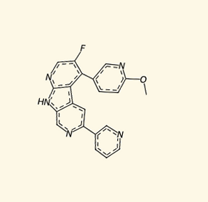 COc1ccc(-c2c(F)cnc3[nH]c4cnc(-c5cccnc5)cc4c23)cn1